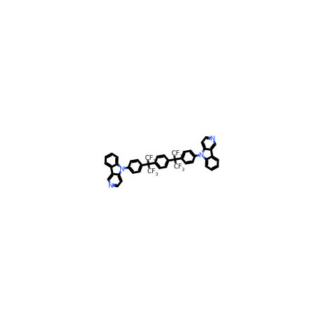 FC(F)(F)C(c1ccc(-n2c3ccccc3c3cnccc32)cc1)(c1ccc(C(c2ccc(-n3c4ccccc4c4cnccc43)cc2)(C(F)(F)F)C(F)(F)F)cc1)C(F)(F)F